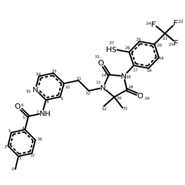 Cc1ccc(C(=O)Nc2cc(CCN3C(=O)N(c4ccc(C(F)(F)F)cc4S)C(=O)C3(C)C)ccn2)cc1